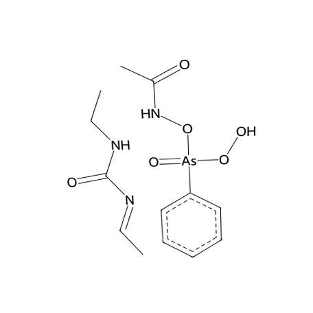 CC(=O)NO[As](=O)(OO)c1ccccc1.CC=NC(=O)NCC